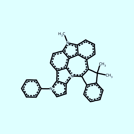 Cn1c2cccc3c4c(n5c6ccn(-c7ccccc7)c6c6ccc1c(c32)c65)-c1ccccc1C4(C)C